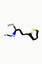 CNC(C=Cc1cccs1)=NC#N